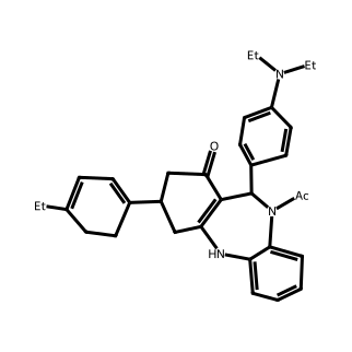 CCC1=CC=C(C2CC(=O)C3=C(C2)Nc2ccccc2N(C(C)=O)C3c2ccc(N(CC)CC)cc2)CC1